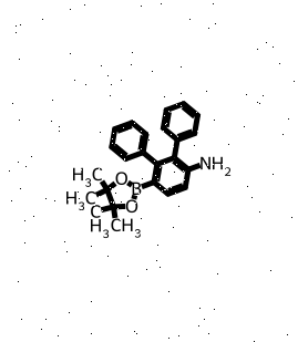 CC1(C)OB(c2ccc(N)c(-c3ccccc3)c2-c2ccccc2)OC1(C)C